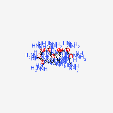 N=C(N)NCCC[C@H](NC(=O)[C@H](CCCNC(=N)N)NC(=O)[C@H](CCCNC(=N)N)NC(=O)[C@H](CCCNC(=N)N)NC(=O)[C@H](CCCNC(=N)N)NC(=O)[C@H](CCCNC(=N)N)NC(=O)[C@H](CCCNC(=N)N)NC(=O)[C@H](CCCNC(=N)N)NC(=O)[C@H](CCCNC(=N)N)NC(=O)[C@@H](N)CCCNC(=N)N)C(=O)O